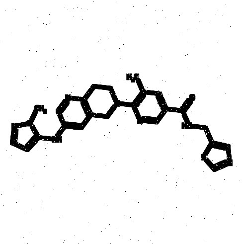 Cc1cc(C(=O)NCc2cncs2)cnc1N1CCc2ncc(Nc3ccnn3C)cc2C1